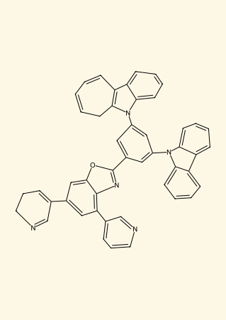 C1=CCc2c(c3ccccc3n2-c2cc(-c3nc4c(-c5cccnc5)cc(C5=CCCN=C5)cc4o3)cc(-n3c4ccccc4c4ccccc43)c2)C=C1